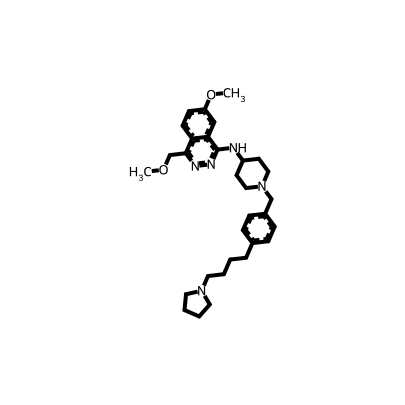 COCc1nnc(NC2CCN(Cc3ccc(CCCCN4CCCC4)cc3)CC2)c2cc(OC)ccc12